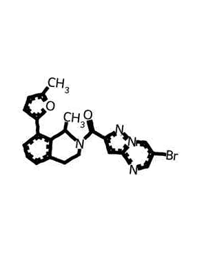 Cc1ccc(-c2cccc3c2C(C)N(C(=O)c2cc4ncc(Br)cn4n2)CC3)o1